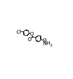 NOc1ccc(C(=O)Oc2ccc(Cl)cc2)cc1